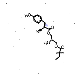 CCC(C)(C)C(=O)OCC(O)COC(=O)/C(C#N)=C/c1ccc(O)cc1